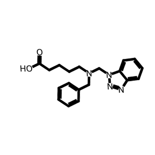 O=C(O)CCCCN(Cc1ccccc1)Cn1nnc2ccccc21